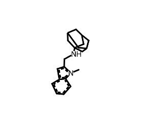 Cn1c(CNC23CC4CC(CC(C4)C2)C3)cc2ccccc21